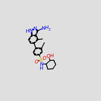 Cc1cc(S(=O)(=O)NC2CCCCC2O)ccc1-c1ccc2[nH]nc(N)c2c1C